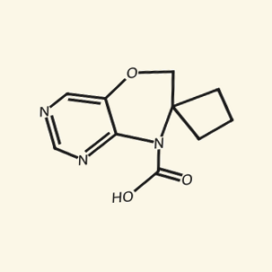 O=C(O)N1c2ncncc2OCC12CCC2